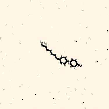 CCCCCCCCC1CCC(C2CCC(=O)CC2)CC1